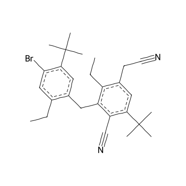 CCc1cc(Br)c(C(C)(C)C)cc1Cc1c(C#N)c(C(C)(C)C)cc(CC#N)c1CC